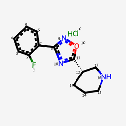 Cl.Fc1ccccc1-c1noc([C@H]2CCCNC2)n1